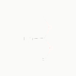 CCOC([SiH2])OCC